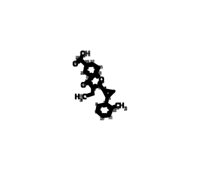 CCc1c(C2CC2c2ccccc2C)oc2ccc(C(=O)O)cc2c1=O